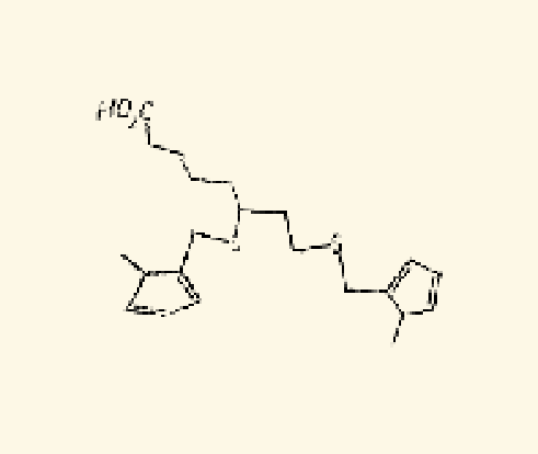 CC1C=CC=C1CSCCC(CCCCC(=O)O)SCC1=CC=CC1C